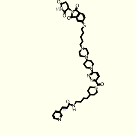 O=C(/C=C/c1cccnc1)NCCCCC1CCN(C(=O)c2ccc(N3CCC(N4CCN(CCCCCSc5ccc6c(c5)C(=O)N(C5CCC(=O)NC5=O)C6=O)CC4)CC3)nn2)CC1